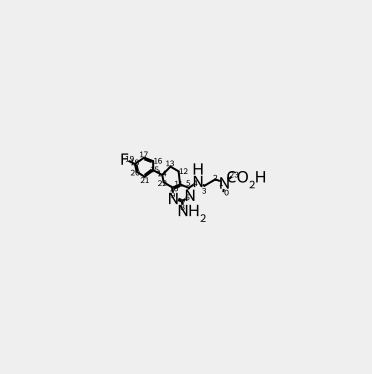 CN(CCNc1nc(N)nc2c1CCC(c1ccc(F)cc1)C2)C(=O)O